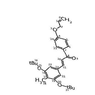 C=CCOc1ccc(C(=O)C=Cc2cc(OC(C)(C)C)c(C)c(OC(C)(C)C)c2)cc1